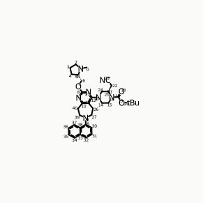 CN1CCC[C@H]1COc1nc2c(c(N3CCN(C(=O)OC(C)(C)C)[C@H](CC#N)C3)n1)CCN(c1cccc3ccccc13)CC2